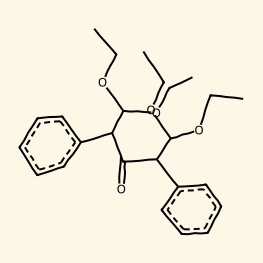 CCOC(OCC)C(C(=O)C(c1ccccc1)C(OCC)OCC)c1ccccc1